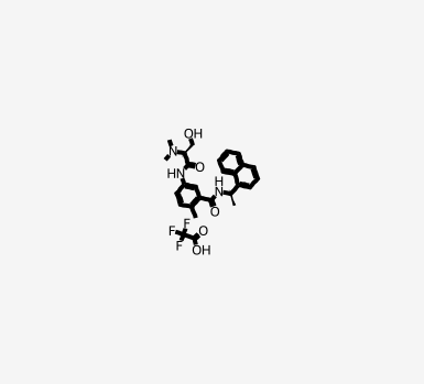 Cc1ccc(NC(=O)[C@H](CO)N(C)C)cc1C(=O)N[C@H](C)c1cccc2ccccc12.O=C(O)C(F)(F)F